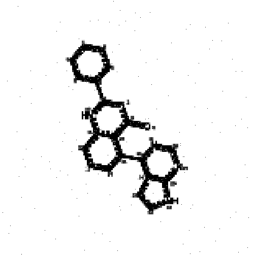 O=c1nc(-c2ccccc2)[nH]c2cccc(-c3ncnc4[nH]ccc34)c12